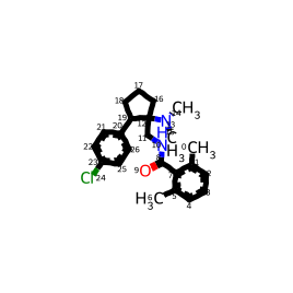 Cc1cccc(C)c1C(=O)NCC1(N(C)C)CCCC1c1ccc(Cl)cc1